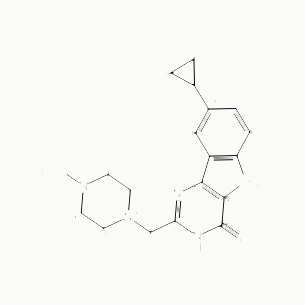 CN1CCN(Cc2nc3c(oc4ccc(C5CC5)cc43)c(=O)[nH]2)CC1